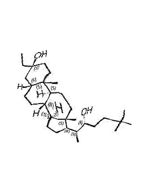 CC[C@]1(O)CC[C@@]2(C)[C@H](CC[C@@H]3[C@@H]2CC[C@]2(C)[C@@H]([C@H](C)[C@H](O)CCC(C)(C)C)CC[C@@H]32)C1